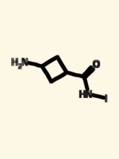 NC1CC(C(=O)NI)C1